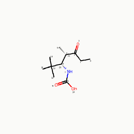 C[CH]C(=O)[C@@H](C)[C@H](NC(=O)O)C(C)(C)C